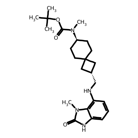 Cn1c(=O)[nH]c2cccc(NC[C@H]3CC4(CC[C@H](N(C)C(=O)OC(C)(C)C)CC4)C3)c21